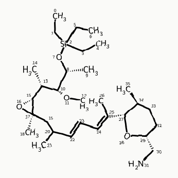 CC[Si](CC)(CC)O[C@H](C)[C@H](OC)[C@@H](C)[C@H]1O[C@]1(C)CC(C)/C=C/C=C(\C)[C@H]1O[C@@H](CN)CC[C@@H]1C